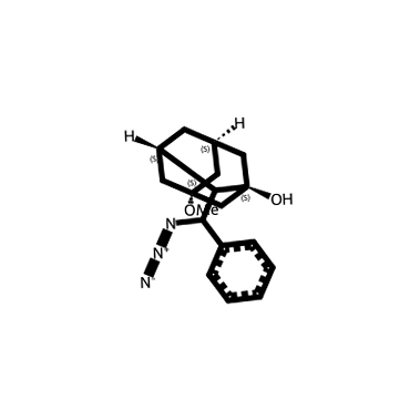 CO[C@@]12C[C@H]3C[C@@H](C1)C(C(N=[N+]=[N-])c1ccccc1)[C@](O)(C3)C2